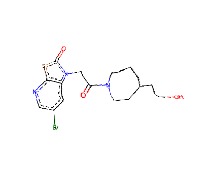 O=C(Cn1c(=O)sc2ncc(Br)cc21)N1CCC(CCO)CC1